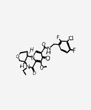 CCN1C(=O)c2c(OC)c(=O)c(C(=O)NCc3ccc(F)c(Cl)c3F)cn2[C@@H]2CCOC[C@H]21